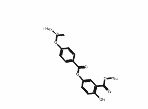 CCCCCC[C@@H](C)Oc1ccc(C(=O)Oc2ccc(O)c(C(=O)OCCCC)c2)cc1